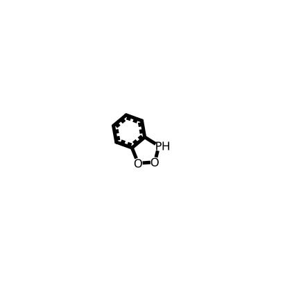 c1ccc2c(c1)OOP2